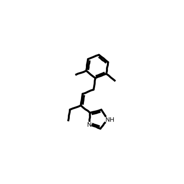 CC/C(=C/Cc1c(C)cccc1C)c1c[nH]cn1